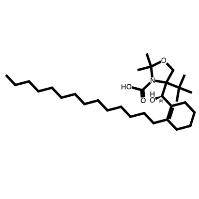 CCCCCCCCCCCCCCC1=C([C@@H](O)C2(C(C)(C)C)COC(C)(C)N2C(=O)O)CCCC1